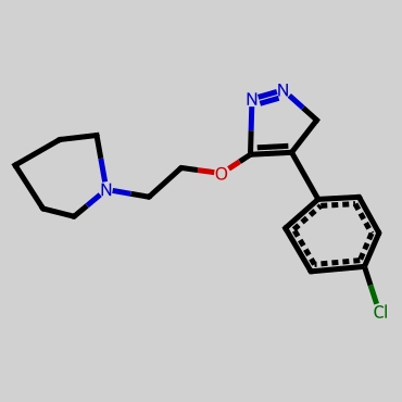 Clc1ccc(C2=C(OCCN3CCCCC3)N=NC2)cc1